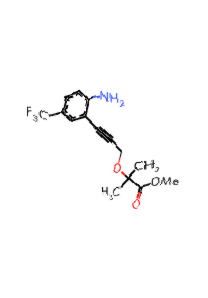 COC(=O)C(C)(C)OCC#Cc1cc(C(F)(F)F)ccc1N